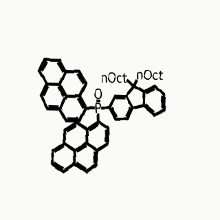 CCCCCCCCC1(CCCCCCCC)c2ccccc2-c2ccc(P(=O)(c3ccc4ccc5cccc6ccc3c4c56)c3ccc4ccc5cccc6ccc3c4c56)cc21